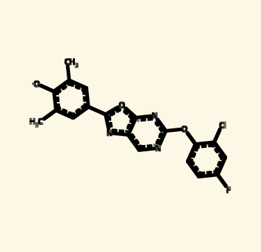 Cc1cc(-c2nc3cnc(Oc4ccc(F)cc4Cl)nc3o2)cc(C)c1[O]